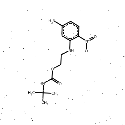 CC(C)(C)NC(=O)OCCNc1nc(N)ccc1[N+](=O)[O-]